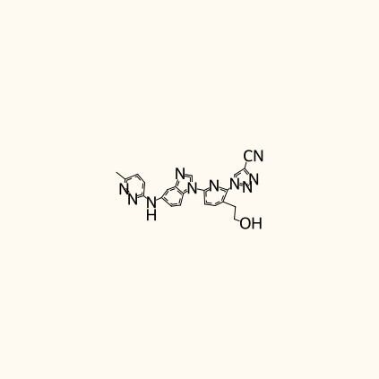 Cc1ccc(Nc2ccc3c(c2)ncn3-c2ccc(CCO)c(-n3cc(C#N)nn3)n2)nn1